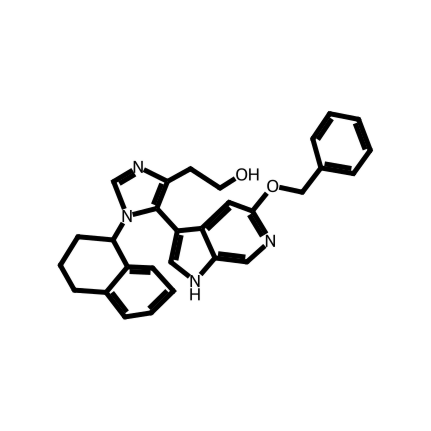 OCCc1ncn(C2CCCc3ccccc32)c1-c1c[nH]c2cnc(OCc3ccccc3)cc12